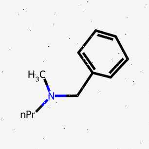 CCCN(C)Cc1ccccc1